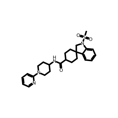 CS(=O)(=O)N1CC2(CCC(C(=O)NC3CCN(c4ccccn4)CC3)CC2)c2ccccc21